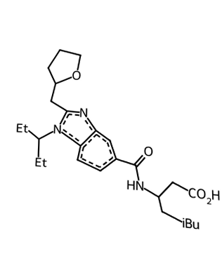 CCC(C)CC(CC(=O)O)NC(=O)c1ccc2c(c1)nc(CC1CCCO1)n2C(CC)CC